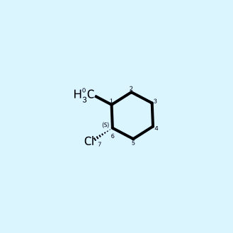 CC1CCCC[C@@H]1Cl